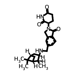 C[C@@H]1[C@H]2C[C@@H](C[C@H]1NCc1ccc3c(c1)CN(C1CCC(=O)NC1=O)C3=O)C2(C)C